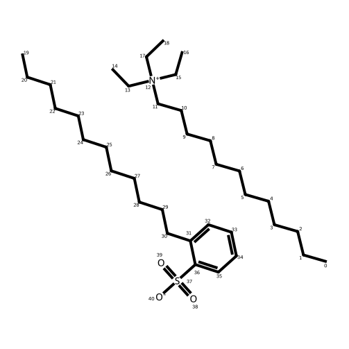 CCCCCCCCCCCC[N+](CC)(CC)CC.CCCCCCCCCCCCc1ccccc1S(=O)(=O)[O-]